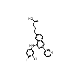 O=C(O)CCCc1ccc2nc(-c3cccnc3)nc(Nc3ccc(F)c(Cl)c3)c2c1